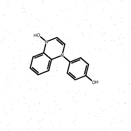 Oc1ccc(N2C=CN(O)c3ccccc32)cc1